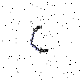 CC1=CC(O)CC(C)(C)C1/C=C/C(C)=C/C=C/C(C)=C/C=C\C=C(C)\C=C\C=C(C)\C=C\C1=CCC(O)CC1(C)C